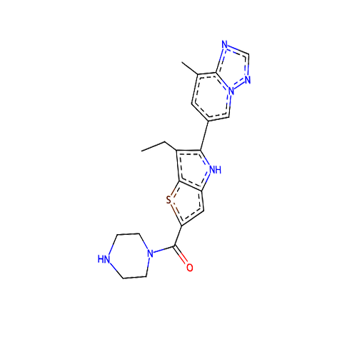 CCc1c(-c2cc(C)c3ncnn3c2)[nH]c2cc(C(=O)N3CCNCC3)sc12